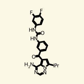 CC(C)c1cc(C(=O)c2cccc(NC(=O)Nc3ccc(F)c(F)c3)c2)c2c(N)ncnn12